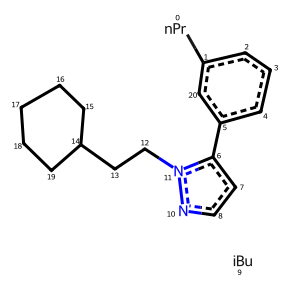 CCCc1cccc(-c2cc([C@H](C)CC)nn2CCC2CCCCC2)c1